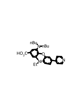 CCCCN(CCCC)c1cc(C(=O)O)cc(NCC)c1Oc1cccc(-c2ccncc2)c1